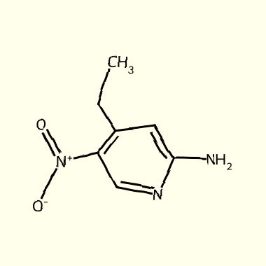 CCc1cc(N)ncc1[N+](=O)[O-]